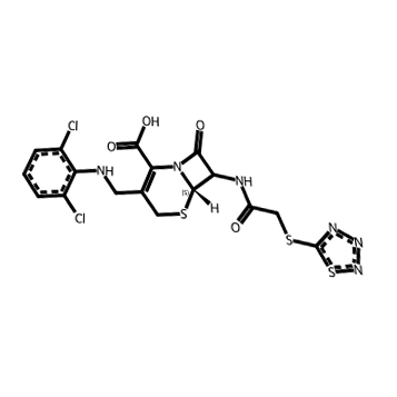 O=C(CSc1nnns1)NC1C(=O)N2C(C(=O)O)=C(CNc3c(Cl)cccc3Cl)CS[C@@H]12